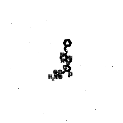 CO[C@H]1C[C@H](n2cnc3c(CCc4ccccc4)ncnc32)O[C@@H]1COS(N)(=O)=O